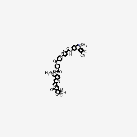 CC[C@@]1(O)C(=O)OCc2c1cc1n(c2=O)Cc2cc3c(CN(C)C)c(OC(=O)N4CCN(C(=O)C5CCN(c6ccc(C(=O)NC7CCC(/C=[N+](/C)c8ccc(C#N)c(Cl)c8)CC7)nn6)CC5)CC4)ccc3nc2-1